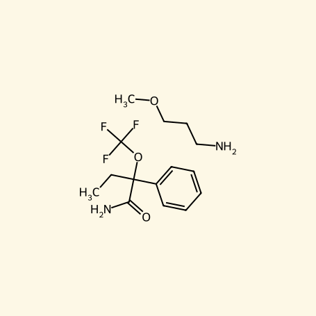 CCC(OC(F)(F)F)(C(N)=O)c1ccccc1.COCCCN